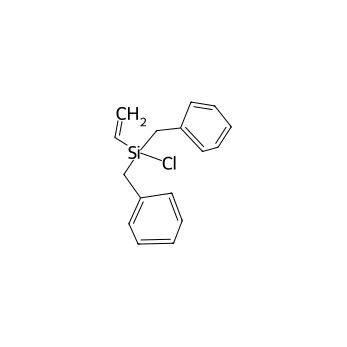 C=C[Si](Cl)(Cc1ccccc1)Cc1ccccc1